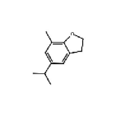 Cc1cc(C(C)C)cc2c1OCC2